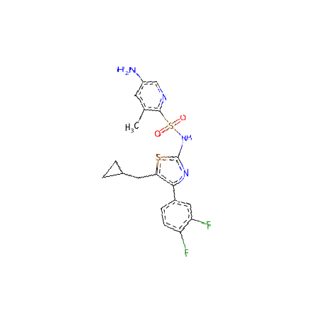 Cc1cc(N)cnc1S(=O)(=O)Nc1nc(-c2ccc(F)c(F)c2)c(CC2CC2)s1